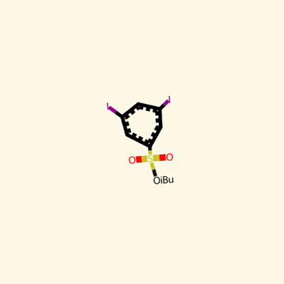 CC(C)COS(=O)(=O)c1cc(I)cc(I)c1